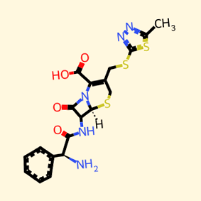 Cc1nnc(SCC2=C(C(=O)O)N3C(=O)C(NC(=O)[C@@H](N)c4ccccc4)[C@@H]3SC2)s1